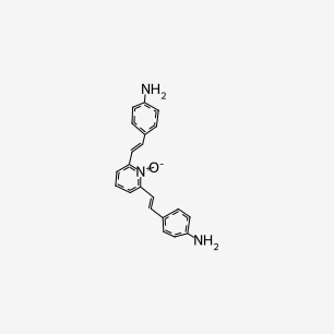 Nc1ccc(/C=C/c2cccc(/C=C/c3ccc(N)cc3)[n+]2[O-])cc1